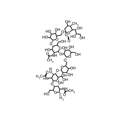 CC(=O)NC1C(O)[C@H](O[C@@H]2OC(CO[C@]3(OC=O)CC(O)[C@@H](C)C([C@H](O)[C@H](O)CO)O3)[C@H](O)[C@H](O)C2O)C(CO)O[C@H]1OC1[C@@H](OCC2O[C@@H](O[C@@H]3C(CO)O[C@@H](O[C@@H]4C(CO)O[C@@H](C)C(NC(C)=O)[C@H]4O)C(NC(C)=O)[C@H]3O)C(O)[C@@H](O)[C@@H]2O)OC(CO)[C@@H](O)[C@@H]1O